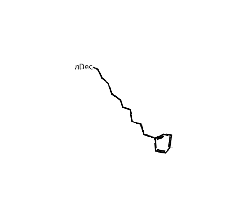 CCCCCCCCCCCCCCCCCCCCc1cc[c]cc1